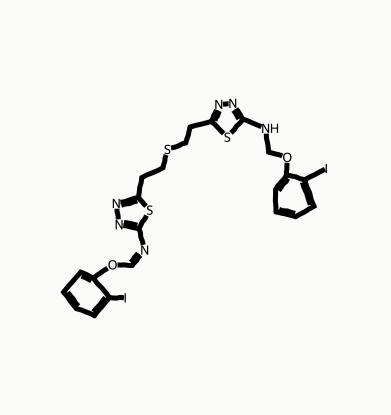 Ic1ccccc1O/C=N\c1nnc(CCSCCc2nnc(NCOc3ccccc3I)s2)s1